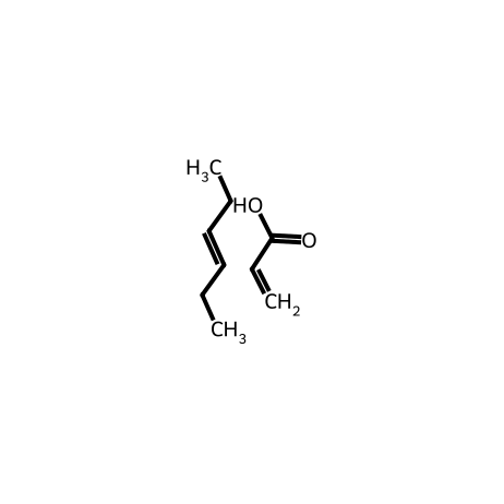 C=CC(=O)O.CCC=CCC